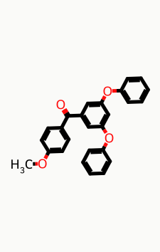 COc1ccc(C(=O)c2cc(Oc3ccccc3)cc(Oc3ccccc3)c2)cc1